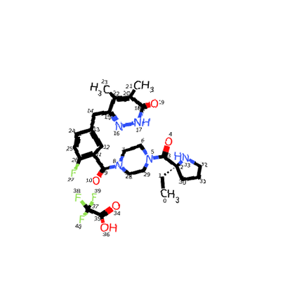 CC[C@@]1(C(=O)N2CCN(C(=O)c3cc(Cc4n[nH]c(=O)c(C)c4C)ccc3F)CC2)CCCN1.O=C(O)C(F)(F)F